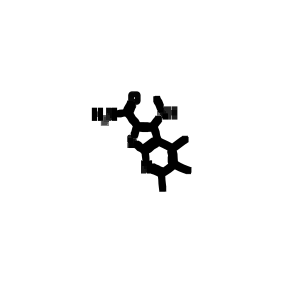 CNc1c(C(N)=O)sc2nc(C)c(C)c(C)c12